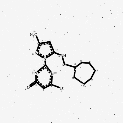 CCc1cc(=O)[nH]c(-n2nc(C)cc2NCC2CCCCCC2)n1